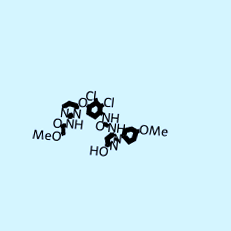 COCC(=O)Nc1nccc(Oc2ccc(NC(=O)Nc3cc(O)nn3-c3ccc(OC)cc3)c(Cl)c2Cl)n1